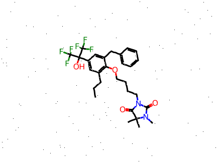 CCCc1cc(C(O)(C(F)(F)F)C(F)(F)F)cc(Cc2ccccc2)c1OCCCCN1C(=O)N(C)C(C)(C)C1=O